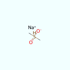 C[SH](C)(=O)[O-].[Na+]